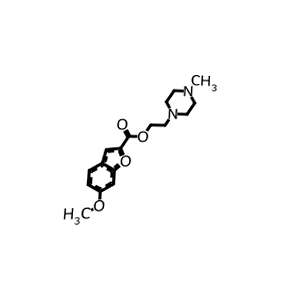 COc1ccc2cc(C(=O)OCCN3CCN(C)CC3)oc2c1